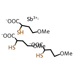 COCCC(S)C(=O)[O-].COCCC(S)C(=O)[O-].COCCC(S)C(=O)[O-].[Sb+3]